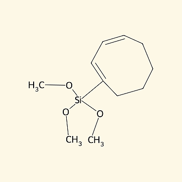 CO[Si](OC)(OC)C1=CC=CCCCC1